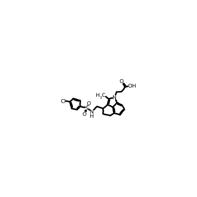 Cc1c2c3c(cccc3n1CCC(=O)O)CCC2CNS(=O)(=O)c1ccc(Cl)cc1